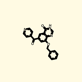 O=C(c1ccncc1)c1cc(OCc2ccccc2)c2nc[nH]c(=O)c2c1